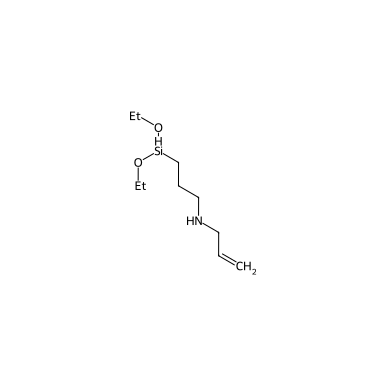 C=CCNCCC[SiH](OCC)OCC